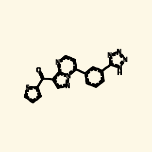 O=C(c1cccs1)c1cnn2c(-c3cccc(-c4nnn[nH]4)c3)ccnc12